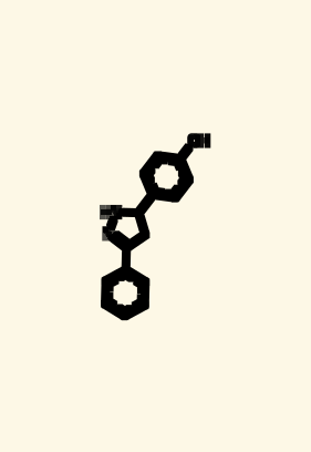 Oc1ccc(C2CC(c3ccccc3)=NN2)cc1